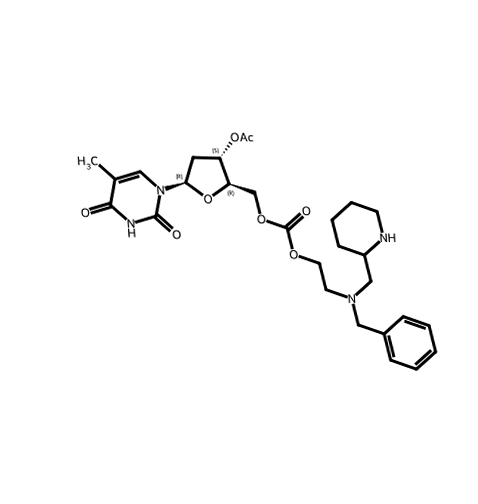 CC(=O)O[C@H]1C[C@H](n2cc(C)c(=O)[nH]c2=O)O[C@@H]1COC(=O)OCCN(Cc1ccccc1)CC1CCCCN1